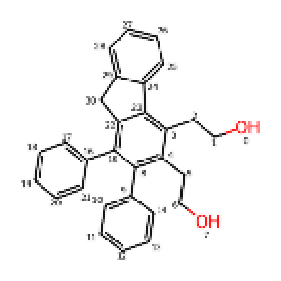 OCCc1c(CCO)c(-c2ccccc2)c(-c2ccccc2)c2c1-c1ccccc1C2